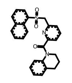 O=C(c1cccc(CS(=O)(=O)c2cccc3ccccc23)n1)N1CCCc2ccccc21